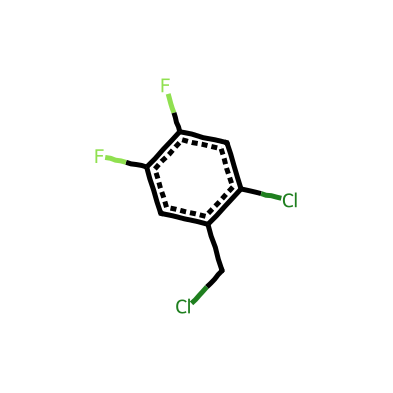 Fc1cc(Cl)c(CCl)cc1F